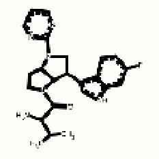 CC(C)C(N)C(=O)N1CCC2C1C(c1c[nH]c3cc(F)ccc13)CN2c1ncccn1